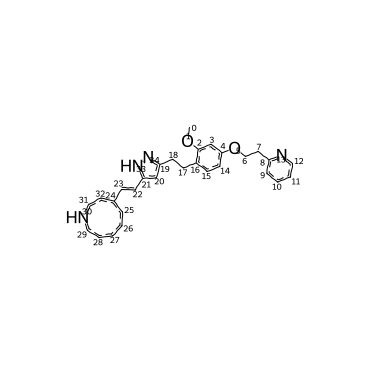 COc1cc(OCCc2ccccn2)ccc1CCc1cc(/C=C/c2ccccc[nH]cc2)[nH]n1